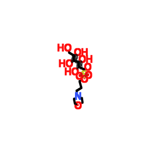 O=C([C@H](O)[C@@H](O)[C@H](O)[C@H](O)CO)S(=O)(=O)OCCCN1CCOCC1